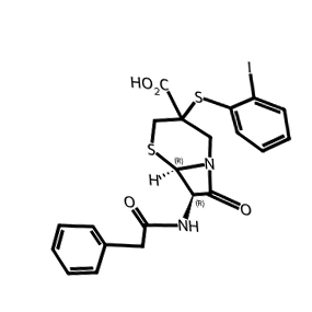 O=C(Cc1ccccc1)N[C@@H]1C(=O)N2CC(Sc3ccccc3I)(C(=O)O)CS[C@H]12